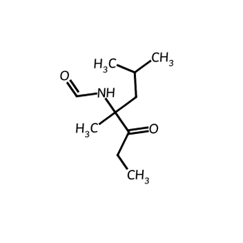 CCC(=O)C(C)(CC(C)C)NC=O